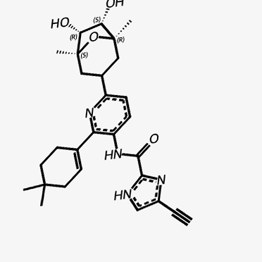 C#Cc1c[nH]c(C(=O)Nc2ccc(C3C[C@@]4(C)O[C@@](C)(C3)[C@H](O)[C@@H]4O)nc2C2=CCC(C)(C)CC2)n1